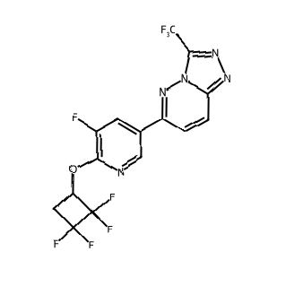 Fc1cc(-c2ccc3nnc(C(F)(F)F)n3n2)cnc1OC1CC(F)(F)C1(F)F